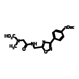 CCCCCCCCCCc1ccc(-c2noc(CNC(=O)CN(C)C(=O)O)n2)cc1